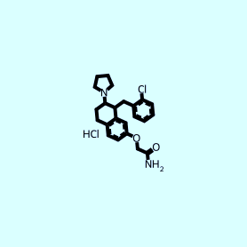 Cl.NC(=O)COc1ccc2c(c1)C(Cc1ccccc1Cl)C(N1CCCC1)CC2